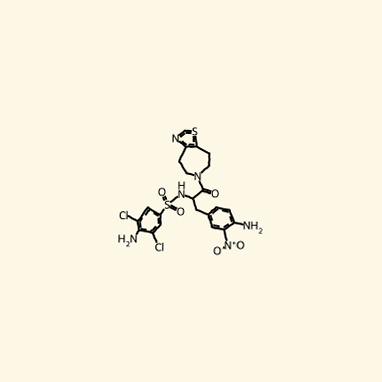 Nc1ccc(CC(NS(=O)(=O)c2cc(Cl)c(N)c(Cl)c2)C(=O)N2CCc3ncsc3CC2)cc1[N+](=O)[O-]